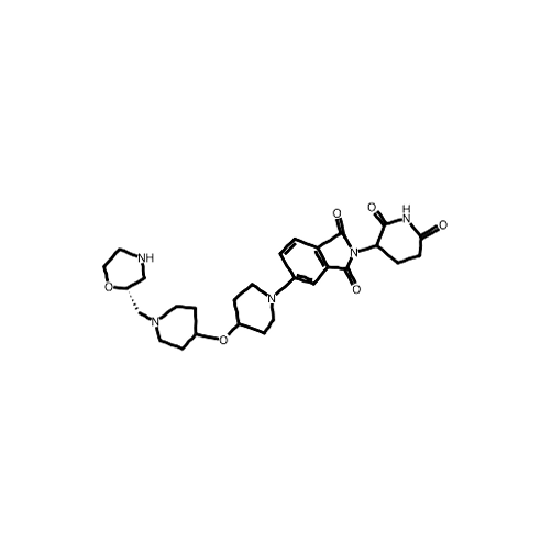 O=C1CCC(N2C(=O)c3ccc(N4CCC(OC5CCN(C[C@H]6CNCCO6)CC5)CC4)cc3C2=O)C(=O)N1